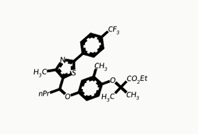 CCCC(Oc1ccc(OC(C)(C)C(=O)OCC)c(C)c1)c1sc(-c2ccc(C(F)(F)F)cc2)nc1C